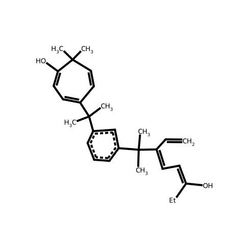 C=C/C(=C\C=C(\O)CC)C(C)(C)c1cccc(C(C)(C)C2=CC=C(O)C(C)(C)C=C2)c1